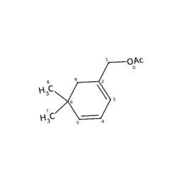 CC(=O)OCC1=CC=CC(C)(C)C1